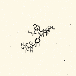 CCS(=O)(=O)C1(c2cc(N3CCOC[C@@H]3C)nc(-c3ccc(NC(=O)NC(C)C)cc3)n2)CC1